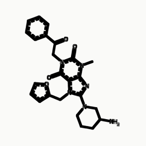 Cn1c(=O)n(CC(=O)c2ccccc2)c(=O)c2c1nc(N1CCCC(N)C1)n2Cc1ccco1